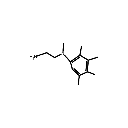 Cc1cc(N(C)CCN)c(C)c(C)c1C